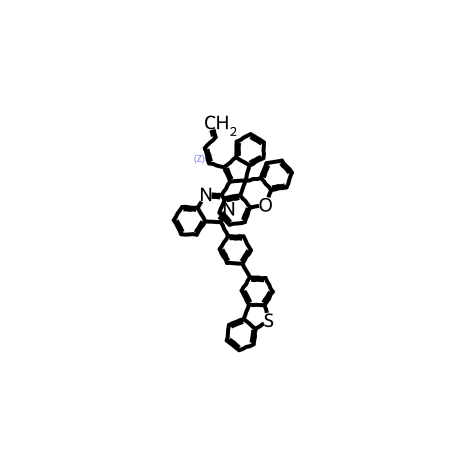 C=C/C=C\C1=C(c2nc(-c3ccc(-c4ccc5sc6ccccc6c5c4)cc3)c3ccccc3n2)C2(c3ccccc3Oc3ccccc32)c2ccccc21